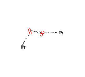 CC(C)CCCCCCCCCOC(=O)CCCCCC(=O)OCCCCCCCCCC(C)C